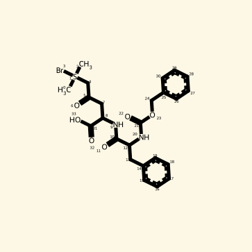 CS(C)(Br)CC(=O)CC(NC(=O)C(Cc1ccccc1)NC(=O)OCc1ccccc1)C(=O)O